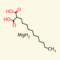 CCCCCCCCCCCC(C(=O)O)C(=O)O.[MgH2]